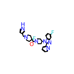 O=C(N1CCC(n2c(-c3ccccn3)nc3cc(F)ccc32)CC1)C1(F)CCN(Cc2cc[nH]c2)CC1